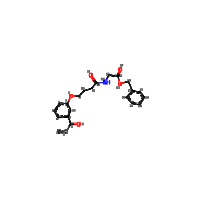 COC(=O)c1cccc(OCCCC(=O)NCC(=O)OCc2ccccc2)c1